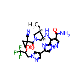 CC[C@H]1CN(C(=O)C2(C#N)CC2)C[C@H]1Nc1c(C(N)=O)cnn2cc(-c3cnn(CC(O)C(F)(F)F)c3)nc12